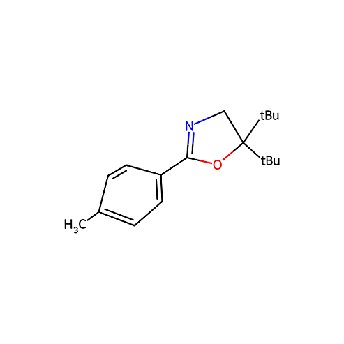 Cc1ccc(C2=NCC(C(C)(C)C)(C(C)(C)C)O2)cc1